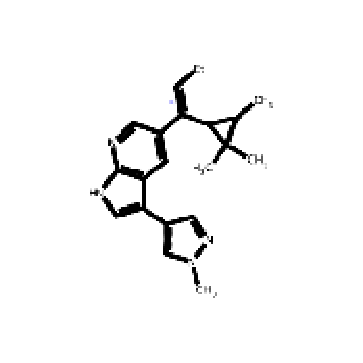 CC/C=C(/c1cnc2[nH]cc(-c3cnn(C)c3)c2c1)C1C(C)C1(C)C